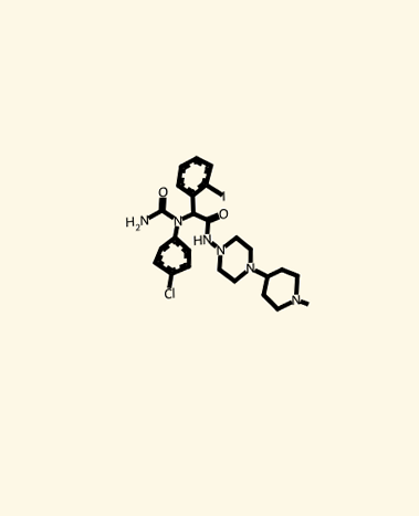 CN1CCC(N2CCN(NC(=O)C(c3ccccc3I)N(C(N)=O)c3ccc(Cl)cc3)CC2)CC1